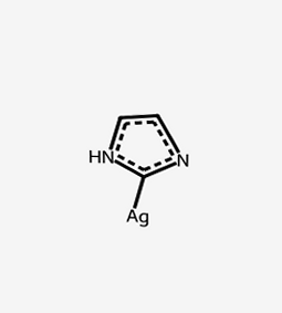 [Ag][c]1ncc[nH]1